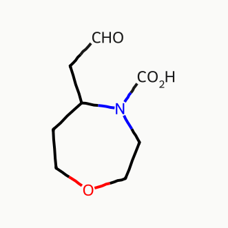 O=CCC1CCOCCN1C(=O)O